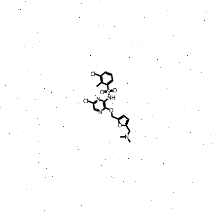 Cc1c(Cl)cccc1S(=O)(=O)Nc1nc(Cl)cnc1OCc1ccc(CN(C)C)o1